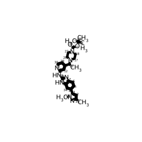 Cc1cc(-c2ccc3nc(Nc4cc(C(C)N5CCN(C(=O)OC(C)(C)C)CC5)ccn4)[nH]c3c2)n(C)n1